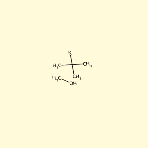 CO.C[C](C)(C)[K]